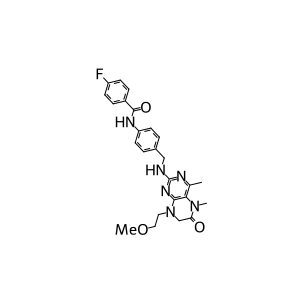 COCCN1CC(=O)N(C)c2c(C)nc(NCc3ccc(NC(=O)c4ccc(F)cc4)cc3)nc21